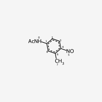 CC(=O)Nc1ccc(N=O)c(C)c1